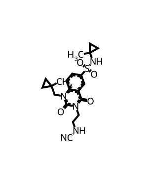 CC1(Cn2c(=O)n(CCNC#N)c(=O)c3cc(S(=O)(=O)NC4(C)CC4)ccc32)CC1